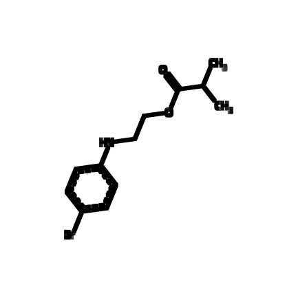 CC(C)C(=O)OCCNc1ccc(Br)cc1